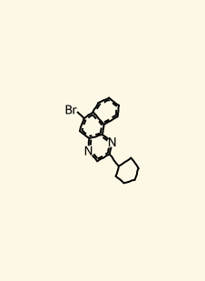 Brc1cc2ncc(C3CCCCC3)nc2c2ccccc12